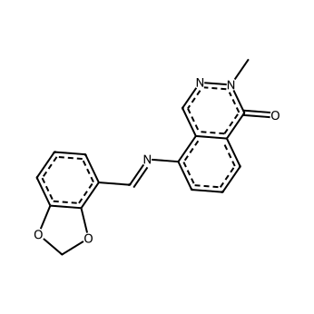 Cn1ncc2c(/N=C/c3cccc4c3OCO4)cccc2c1=O